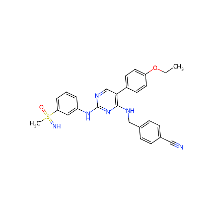 CCOc1ccc(-c2cnc(Nc3cccc(S(C)(=N)=O)c3)nc2NCc2ccc(C#N)cc2)cc1